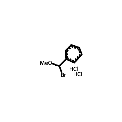 COC(Br)c1ccccc1.Cl.Cl